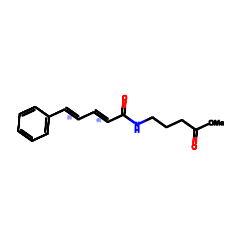 COC(=O)CCCNC(=O)/C=C/C=C/c1ccccc1